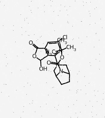 CC(C)(C)OC(=O)N1C2CCC1CN(c1nc(Cl)cc3c1C(O)OC3=O)C2